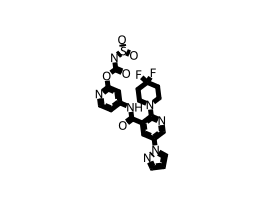 O=C(N=S(=O)=O)Oc1cc(NC(=O)c2cc(-n3cccn3)cnc2N2CCC(F)(F)CC2)ccn1